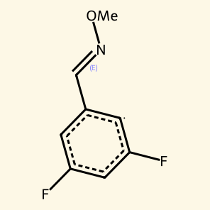 CO/N=C/c1[c]c(F)cc(F)c1